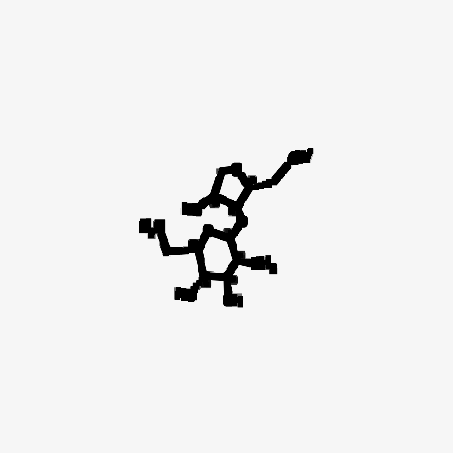 NC[C@H]1O[C@@H](O[C@H]2[C@@H](O)[CH]O[C@@H]2CO)[C@@H](N)[C@@H](O)[C@@H]1O